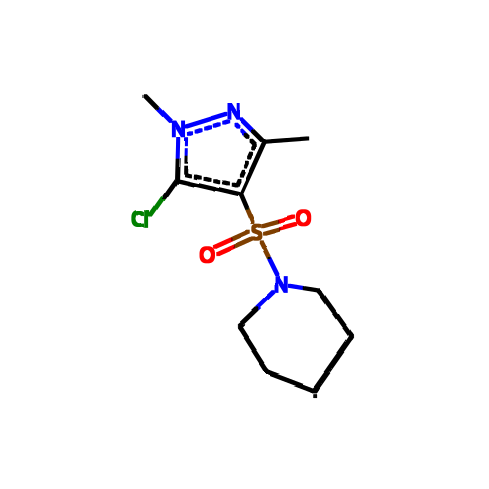 Cc1nn(C)c(Cl)c1S(=O)(=O)N1CC[CH]CC1